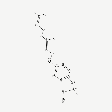 CC(C)=CCC/C(C)=C/COc1ccc(/C=C(/C)CBr)cc1